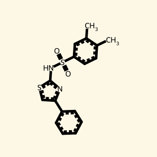 Cc1ccc(S(=O)(=O)Nc2nc(-c3ccccc3)cs2)cc1C